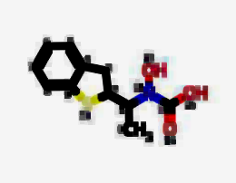 CC(C1Cc2ccccc2S1)N(O)C(=O)O